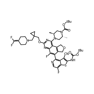 C[C@@H]1CN(c2nc(OCC3(CN4CCC(=C(F)F)CC4)CC3)nc3c(F)c(-c4ncc(F)c5sc(NC(=O)OC(C)(C)C)c(C#N)c45)c4c(c23)COC4)[C@@H](C)CN1C(=O)OC(C)(C)C